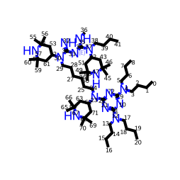 CCCCN(CCCC)c1nc(N(CCCC)CCCC)nc(N(CCCCCCN(C(=N)/N=C(\NC)N(CCCC)C2CC(C)(C)NC(C)(C)C2)C2CC(C)(C)NC(C)(C)C2)C2CC(C)(C)NC(C)(C)C2)n1